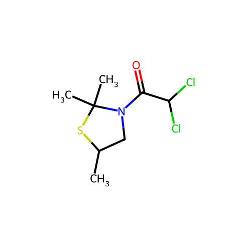 CC1CN(C(=O)C(Cl)Cl)C(C)(C)S1